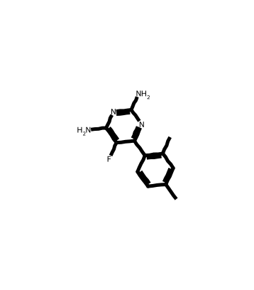 Cc1ccc(-c2nc(N)nc(N)c2F)c(C)c1